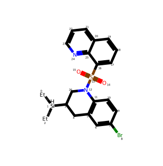 CC[SiH](CC)C1Cc2cc(Br)ccc2N(S(=O)(=O)c2cccc3cccnc23)C1